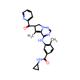 CC1=C2C(Nc3cc(C(=O)NC4CC4)ccc3C)=NC=NN2CC1C(=O)c1ccccn1